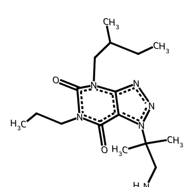 CCCn1c(=O)c2c(nnn2C(C)(C)CN)n(CC(C)CC)c1=O